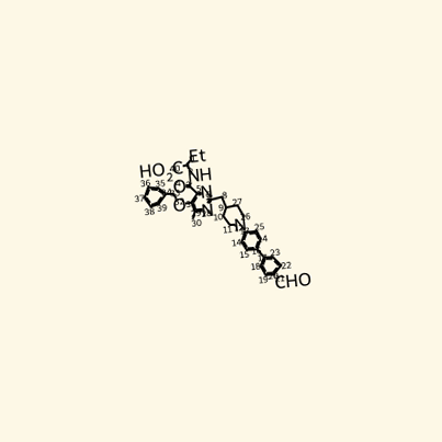 CCC(NC(=O)c1nc(CC2CCN(c3ccc(-c4ccc(C=O)cc4)cc3)CC2)nc(C)c1OCc1ccccc1)C(=O)O